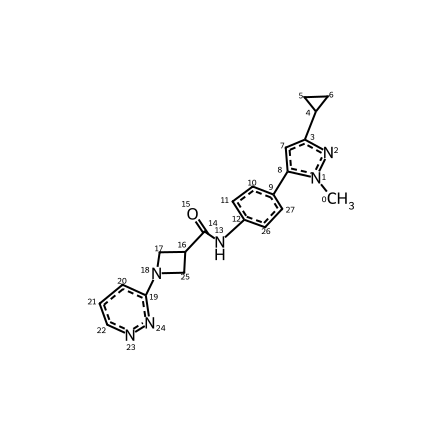 Cn1nc(C2CC2)cc1-c1ccc(NC(=O)C2CN(c3cccnn3)C2)cc1